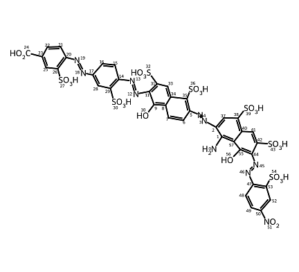 Nc1c(N=Nc2ccc3c(O)c(N=Nc4ccc(N=Nc5ccc(C(=O)O)cc5S(=O)(=O)O)cc4S(=O)(=O)O)c(S(=O)(=O)O)cc3c2S(=O)(=O)O)cc(S(=O)(=O)O)c2cc(S(=O)(=O)O)c(N=Nc3ccc([N+](=O)[O-])cc3S(=O)(=O)O)c(O)c12